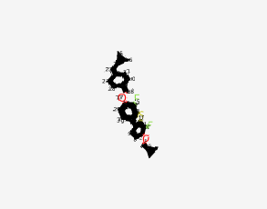 Fc1c(OCC2CC2)ccc2c1sc1c(F)c(OCC3CCC(CC4CC4)CC3)ccc12